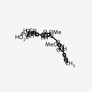 COc1cc2c(cc1OCCCCCOc1cc3c(cc1OC)C(=O)N1C=C(c4ccc(N5CCN(C)CC5)cc4)C[C@H]1C=N3)N=C[C@@H]1CC(c3ccc(NC(=O)[C@H](C)NC(=O)[C@@H](NC(=O)O)C(C)C)cc3)=CN1C2=O